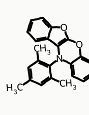 Cc1cc(C)c(N2c3ccccc3Oc3oc4ccccc4c32)c(C)c1